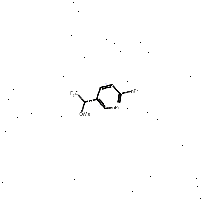 C=C(/C=C\C(=C/CCC)C(OC)C(F)(F)F)CCC